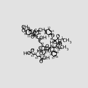 CCOC(=O)C(COc1ccccc1)O[PH](=O)N(CC)C(NC(=O)O[C@@H]1[C@@H]2CCO[C@@H]2O[C@H]1CCC(O)CN(CC(C)C)S(=O)(=O)c1ccc(OC)cc1)c1ccccc1.O=C(O)CCCCC(=O)O